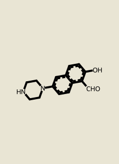 O=Cc1c(O)ccc2cc(N3CCNCC3)ccc12